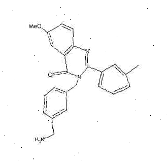 COc1ccc2nc(-c3cccc(C)c3)n(Cc3cccc(CN)c3)c(=O)c2c1